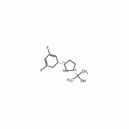 CC(C)(O)[C@H]1CC[C@@H](C2C=C(F)C=C(F)C2)N1